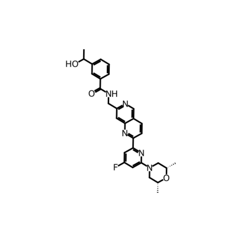 CC(O)c1cccc(C(=O)NCc2cc3nc(-c4cc(F)cc(N5C[C@@H](C)O[C@@H](C)C5)n4)ccc3cn2)c1